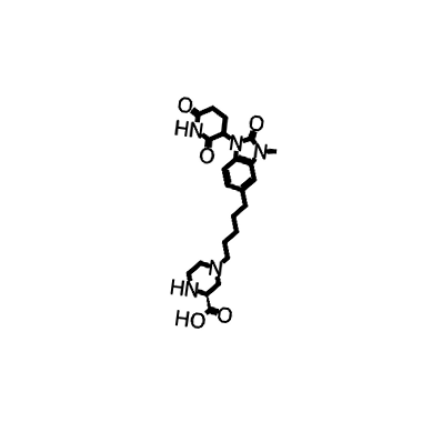 Cn1c(=O)n(C2CCC(=O)NC2=O)c2ccc(CCCCCN3CCN[C@H](C(=O)O)C3)cc21